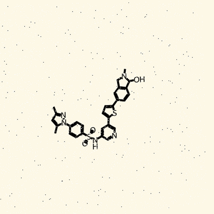 Cc1cc(C)n(-c2ccc(S(=O)(=O)Nc3cncc(-c4ccc(-c5ccc6c(c5)CN(C)C6O)s4)c3)cc2)n1